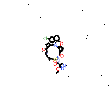 CCOc1nn(C)cc1C(=O)N[S@@]1(=O)=NC(=O)c2ccc3c(c2)N(C[C@@H]2CC[C@H]2[C@@H](OC)/C=C/C[C@H](C)C1)C[C@@]1(CCCc2cc(Cl)ccc21)CO3